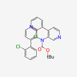 CC(C)(C)OC(=O)N(c1cnccc1-c1ccccc1Cl)c1cnccc1-c1ccccc1Cl